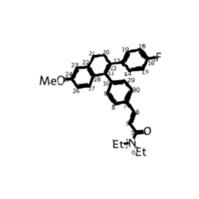 CCN(CC)C(=O)/C=C/c1ccc(C2=C(c3ccc(F)cc3)CCc3cc(OC)ccc32)cc1